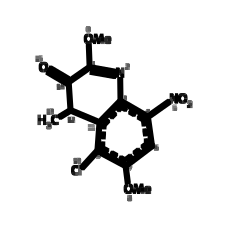 COC1=Nc2c([N+](=O)[O-])cc(OC)c(Cl)c2C(C)C1=O